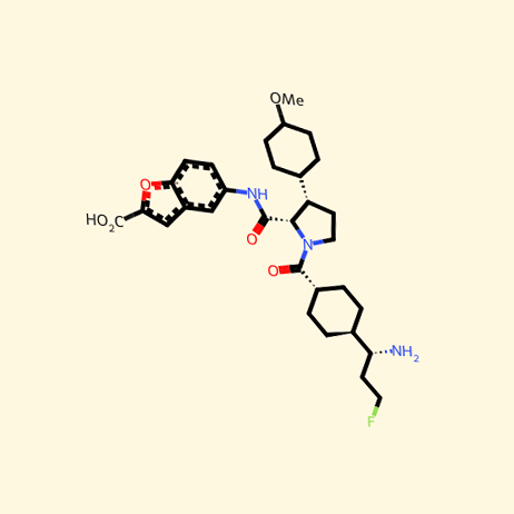 COC1CCC([C@@H]2CCN(C(=O)[C@H]3CC[C@H]([C@H](N)CCF)CC3)[C@@H]2C(=O)Nc2ccc3oc(C(=O)O)cc3c2)CC1